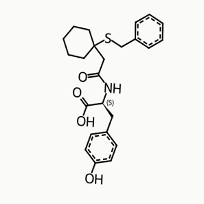 O=C(CC1(SCc2ccccc2)CCCCC1)N[C@@H](Cc1ccc(O)cc1)C(=O)O